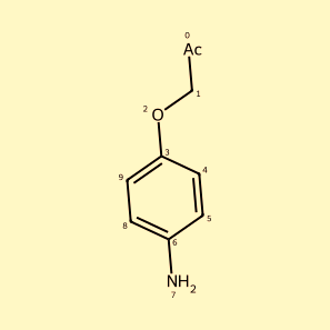 CC(=O)COc1ccc(N)cc1